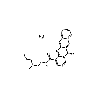 COSN(C)CCNC(=O)c1cccn2c(=O)c3cc4ccccc4cc3nc12.S